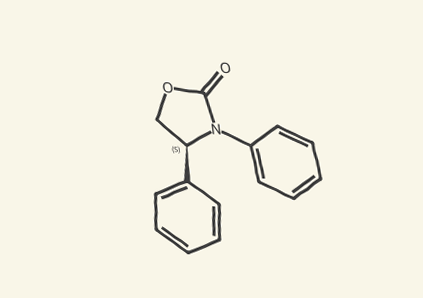 O=C1OC[C@H](c2ccccc2)N1c1ccccc1